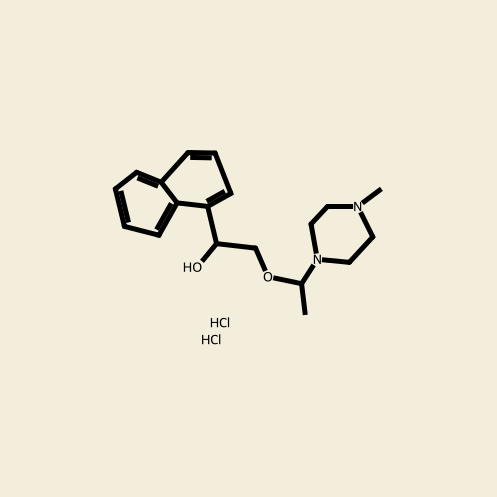 CC(OCC(O)c1cccc2ccccc12)N1CCN(C)CC1.Cl.Cl